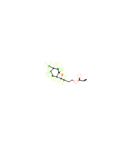 C=CC(=O)OCCC(F)(F)C(F)(F)C1(F)C(F)(F)C(F)(F)C(F)(C(F)(F)F)C(F)(F)C1(F)F